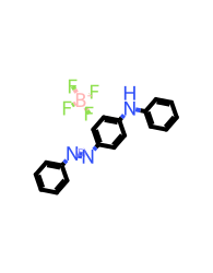 F[B-](F)(F)F.c1ccc(/N=N/c2ccc(Nc3ccccc3)cc2)cc1